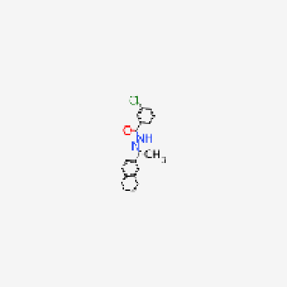 C/C(=N\NC(=O)c1cccc(Cl)c1)c1ccc2ccccc2c1